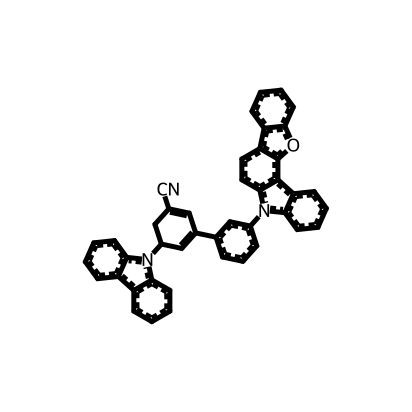 N#CC1=CC(c2cccc(-n3c4ccccc4c4c5oc6ccccc6c5ccc43)c2)=CC(n2c3ccccc3c3ccccc32)C1